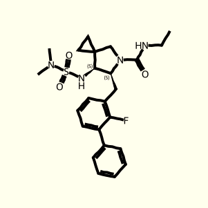 CCNC(=O)N1CC2(CC2)[C@H](NS(=O)(=O)N(C)C)[C@@H]1Cc1cccc(-c2ccccc2)c1F